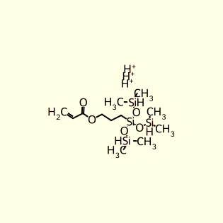 C=CC(=O)OCCC[Si](O[SiH](C)C)(O[SiH](C)C)O[SiH](C)C.[H+].[H+].[H+]